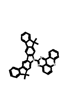 CC1(C)c2ccccc2-c2cc3c4cc5c(cc4n(-c4nc6c7c(cccc7n4)Sc4ccccc4-6)c3cc21)C(C)(C)c1ccccc1-5